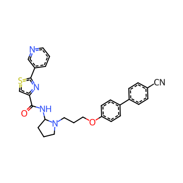 N#Cc1ccc(-c2ccc(OCCCN3CCCC3NC(=O)c3csc(-c4cccnc4)n3)cc2)cc1